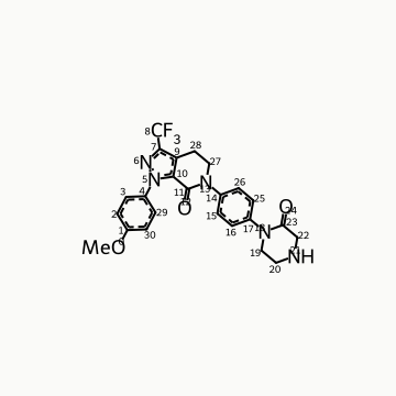 COc1ccc(-n2nc(C(F)(F)F)c3c2C(=O)N(c2ccc(N4CCNCC4=O)cc2)CC3)cc1